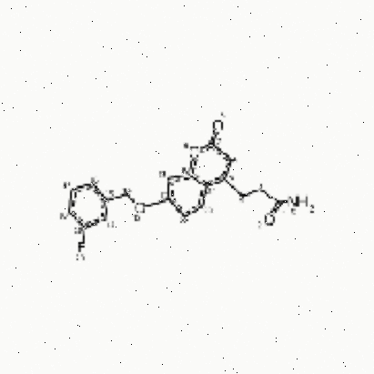 NC(=O)CCc1cc(=O)oc2cc(OCc3cccc(F)c3)ccc12